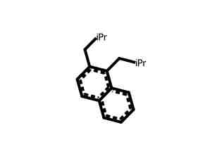 CC(C)Cc1ccc2ccccc2c1CC(C)C